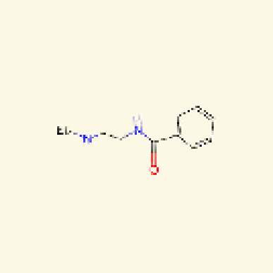 CC[N]CCNC(=O)c1ccccc1